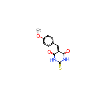 CCOc1ccc(C=C2C(=O)NC(=S)NC2=O)cc1